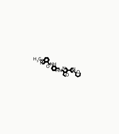 Cn1ncc2c(C(=O)Nc3cccc(CNc4ncc(-c5cnn(C6CCCCO6)c5)c5c4CCO5)c3)cccc21